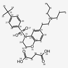 CCCN(CCC)CCc1ccc2c(c1)N(S(=O)(=O)c1ccc(C(C)(C)C)cc1)CCO2.O=C(O)CCC(=O)O